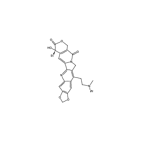 CC[C@@]1(O)C(=O)OCc2c1cc1n(c2=O)Cc2c-1nc1cc3c(cc1c2CCN(C)C(C)C)OCO3